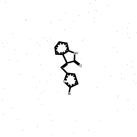 O=C1Nc2ccccc2C1=Cc1ccc(Br)s1